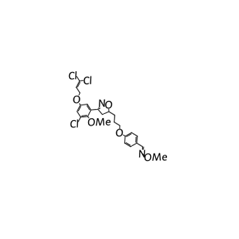 CON=Cc1ccc(OCCCC2CC(c3cc(OCC=C(Cl)Cl)cc(Cl)c3OC)=NO2)cc1